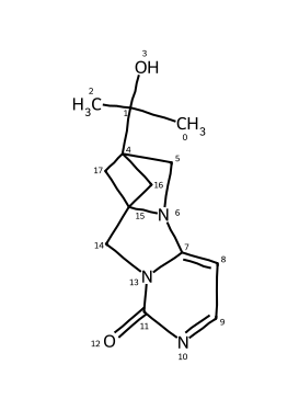 CC(C)(O)C12CN3c4ccnc(=O)n4CC3(C1)C2